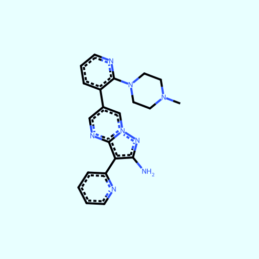 CN1CCN(c2ncccc2-c2cnc3c(-c4ccccn4)c(N)nn3c2)CC1